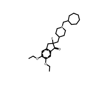 CCOc1cc2c(cc1OCC)C(=O)C(F)(CC1CCN(CC3CCCCCC3)CC1)C2